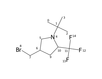 CC(C)(C)N1CC(CBr)CC1C(F)(F)F